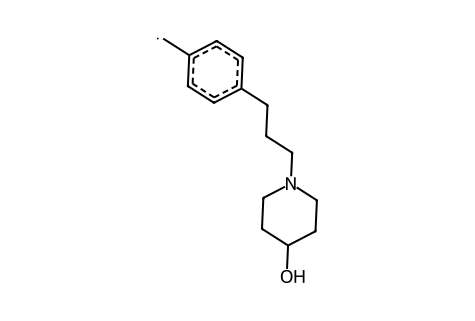 [CH2]c1ccc(CCCN2CCC(O)CC2)cc1